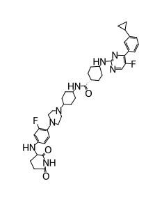 O=C1CCC(Nc2ccc(N3CCN(C4CCC(NC(=O)[C@H]5CC[C@H](Nc6ncc(F)c(-c7cccc(C8CC8)c7)n6)CC5)CC4)CC3)c(F)c2)C(=O)N1